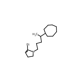 CCC1=CCCN1CCCC(C)C1CCCCCCC1